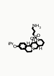 CC(C)Oc1ccc2c(c1)CCN1C[C@H]3CCCN(S(=O)(=O)CCCN)[C@H]3C[C@@H]21